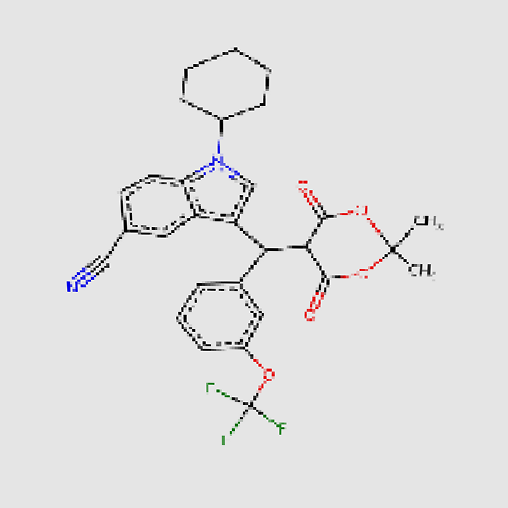 CC1(C)OC(=O)C(C(c2cccc(OC(F)(F)F)c2)c2cn(C3CCCCC3)c3ccc(C#N)cc23)C(=O)O1